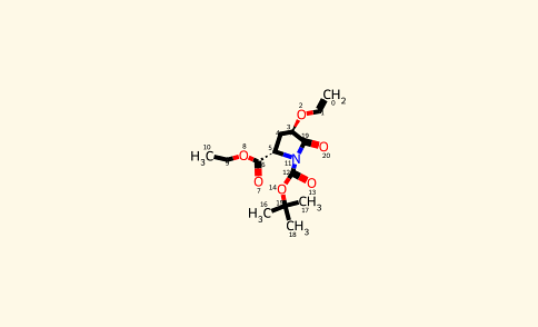 C=CO[C@@H]1C[C@@H](C(=O)OCC)N(C(=O)OC(C)(C)C)C1=O